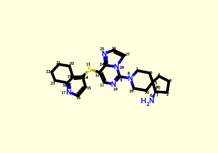 N[C@@H]1CCCC12CCN(c1ncc(Sc3ccnc4c3CCCC4)c3nccn13)CC2